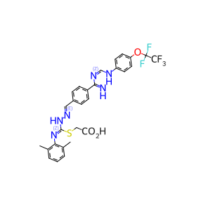 Cc1cccc(C)c1/N=C(/N/N=C/c1ccc(C(=N)/N=C\Nc2ccc(OC(F)(F)C(F)(F)F)cc2)cc1)SCC(=O)O